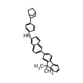 CC1(C)c2ccccc2-c2ccc(-c3ccc4cc(Nc5ccc(C6CC7CCC6C7)cc5)ccc4c3)cc21